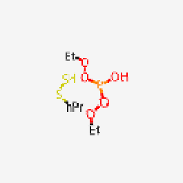 CCCSS.CCOOP(O)OOCC